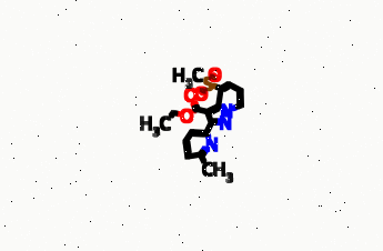 CCOC(=O)c1c(-c2cccc(C)n2)nn2cccc(S(C)(=O)=O)c12